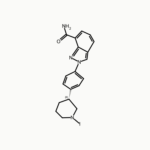 NC(=O)c1cccc2cn(-c3ccc([C@H]4CCCN(I)C4)cc3)nc12